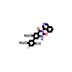 COc1cc(-c2cc3[nH]c(=O)n(-c4cncc5ccccc45)c(=O)c3cc2OC)c(C#N)cc1F